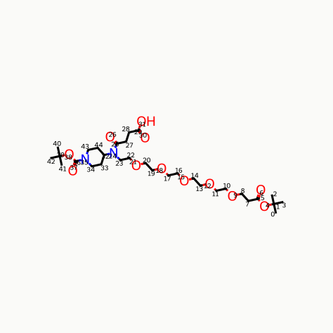 CC(C)(C)OC(=O)CCOCCOCCOCCOCCOCCN(C(=O)CCC(=O)O)C1CCN(C(=O)OC(C)(C)C)CC1